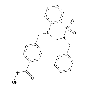 O=C(NO)c1ccc(CN2CN(Cc3ccccc3)S(=O)(=O)c3ccccc32)cc1